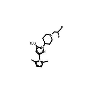 Cc1ccc(C)n1-c1cc(C(C)(C)C)n(C2CCN(CC(F)F)CC2)n1